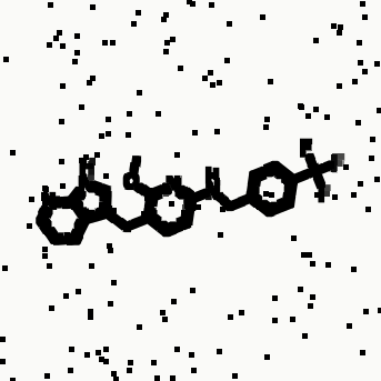 COc1nc(NCc2ccc(C(F)(F)F)cc2)ccc1Cc1c[nH]c2ncccc12